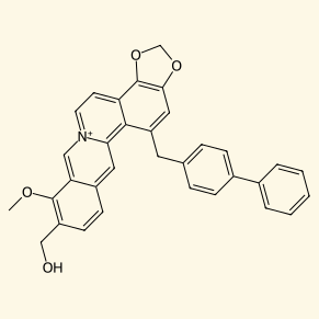 COc1c(CO)ccc2cc3c4c(Cc5ccc(-c6ccccc6)cc5)cc5c(c4cc[n+]3cc12)OCO5